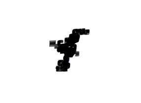 COc1ccc2c(Oc3ccc(/C=C/C(=O)OC(C)(C)C)cc3)c(-c3c(C)noc3C)sc2c1